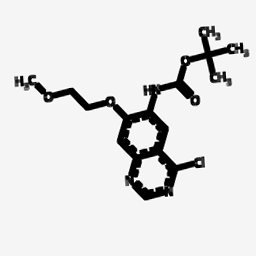 COCCOc1cc2ncnc(Cl)c2cc1NC(=O)OC(C)(C)C